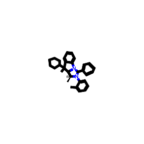 Cc1ccccc1N1C(c2ccccc2)N2c3ccccc3C(C)(C3CCCCC3)C2[C@@H]1C